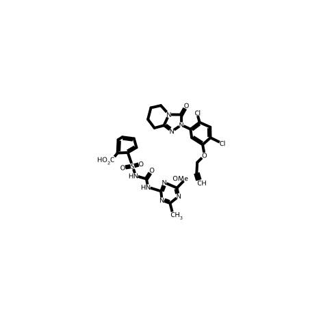 C#CCOc1cc(-n2nc3n(c2=O)CCCC3)c(Cl)cc1Cl.COc1nc(C)nc(NC(=O)NS(=O)(=O)c2ccccc2C(=O)O)n1